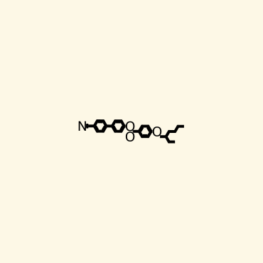 CCCCC(CC)COc1ccc(C(=O)Oc2ccc(-c3ccc(C#N)cc3)cc2)cc1